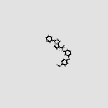 COc1ccc(Oc2cccc(NC(=O)c3ccn4c3CSC4c3cccnc3)c2)cc1